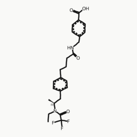 CCN(C(=O)C(F)(F)F)[C@@H](C)Cc1ccc(CCCC(=O)NCc2ccc(C(=O)O)cc2)cc1